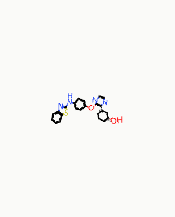 O[C@@H]1CCC[C@H](c2nccnc2Oc2ccc(Nc3nc4ccccc4s3)cc2)C1